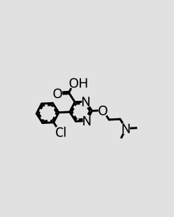 CN(C)CCOc1ncc(-c2ccccc2Cl)c(C(=O)O)n1